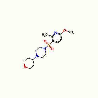 COc1ccc(S(=O)(=O)N2CCN(C3CCOCC3)CC2)c(C)n1